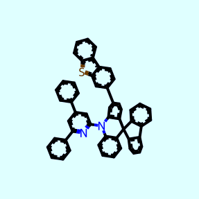 c1ccc(-c2cc(-c3ccccc3)nc(N3c4ccccc4C4(c5ccccc5-c5ccccc54)c4ccc(-c5ccc6c(c5)sc5ccccc56)cc43)c2)cc1